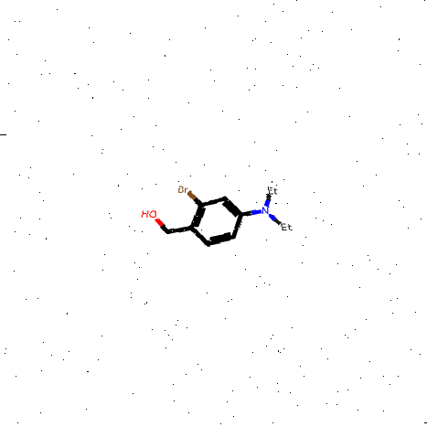 CCN(CC)c1ccc(CO)c(Br)c1